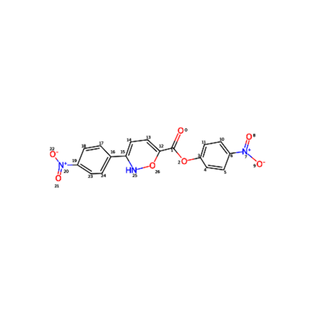 O=C(Oc1ccc([N+](=O)[O-])cc1)C1=CC=C(c2ccc([N+](=O)[O-])cc2)NO1